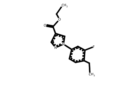 CCOC(=O)c1cnn(-c2ccc(CC)c(F)c2)c1